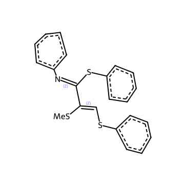 CSC(=C\Sc1ccccc1)/C(=N/c1ccccc1)Sc1ccccc1